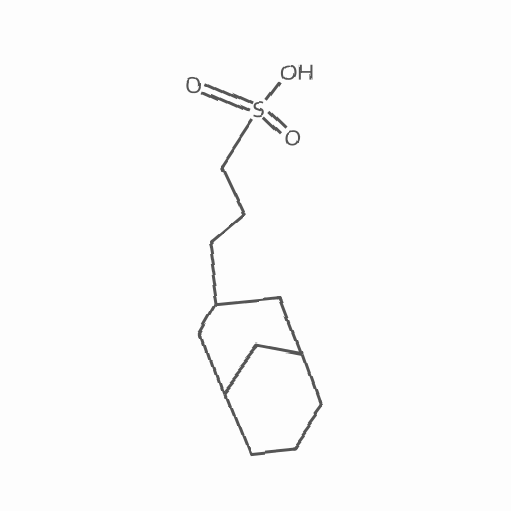 O=S(=O)(O)CCCC1CC2CCCC(C2)C1